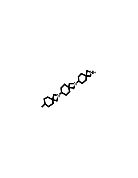 CC1CCC2(CC1)CN(C1CCC3(CC1)CN(C1CCC4(CC1)CNC4)C3)C2